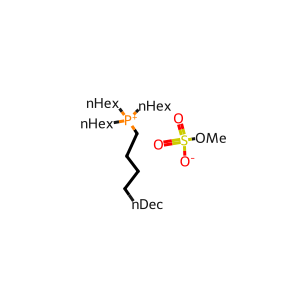 CCCCCCCCCCCCCC[P+](CCCCCC)(CCCCCC)CCCCCC.COS(=O)(=O)[O-]